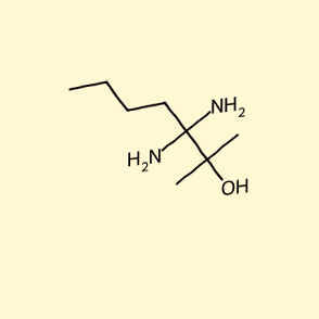 CCCCC(N)(N)C(C)(C)O